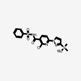 CC(C)(C)[Si](C)(C)c1ccn(-c2ccc(C(=O)NS(=O)(=O)c3ccccc3)c(Cl)n2)n1